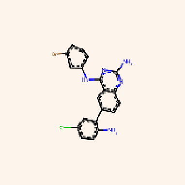 Nc1nc(Nc2cccc(Br)c2)c2cc(-c3cc(Cl)ccc3N)ccc2n1